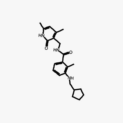 Cc1cc(C)c(CNC(=O)c2cccc(NCC3CCCC3)c2C)c(=O)[nH]1